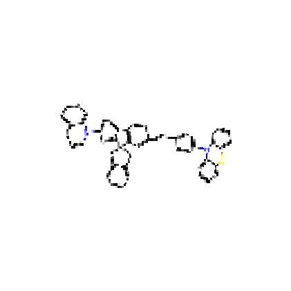 C1=CN(c2ccc3c(c2)C2(Cc4ccccc4C2)c2cc(/C=C/c4ccc(N5c6ccccc6Sc6ccccc65)cc4)ccc2-3)c2ccccc2C1